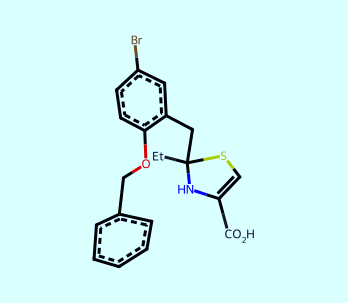 CCC1(Cc2cc(Br)ccc2OCc2ccccc2)NC(C(=O)O)=CS1